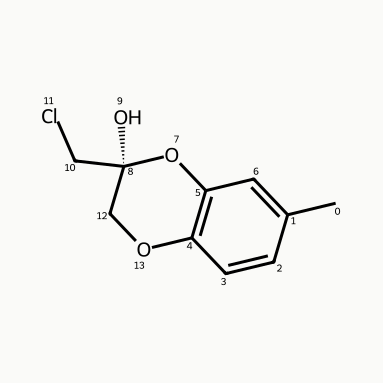 Cc1ccc2c(c1)O[C@](O)(CCl)CO2